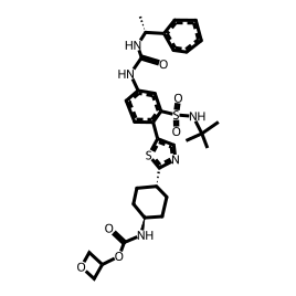 C[C@@H](NC(=O)Nc1ccc(-c2cnc([C@H]3CC[C@H](NC(=O)OC4COC4)CC3)s2)c(S(=O)(=O)NC(C)(C)C)c1)c1ccccc1